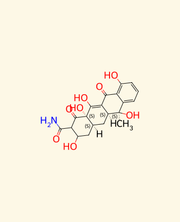 C[C@@]1(O)c2cccc(O)c2C(=O)C2=C(O)[C@]3(O)C(=O)C(C(N)=O)C(O)C[C@@H]3C[C@@H]21